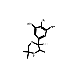 CCCc1cc(C2(O)OCC(C)(C)NC2C)cc(CCC)c1CCC